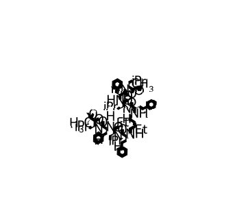 CCC(CN[C@@H](CCc1ccccc1)C(=O)N[C@@H](CC(C)C)C(=O)N[C@@H](Cc1ccccc1)C(=O)N[C@@H](CC(C)C)C(=O)[C@@]1(C)CO1)CC(CC)CN[C@@H](CCc1ccccc1)C(=O)N[C@@H](CC(C)C)C(=O)N[C@@H](Cc1ccccc1)C(=O)N[C@@H](CC(C)C)C(=O)[C@@]1(C)CO1